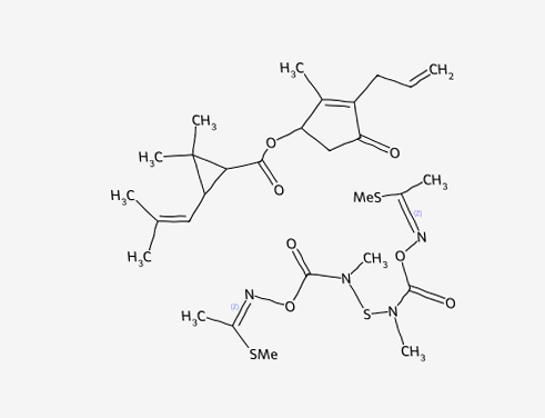 C=CCC1=C(C)C(OC(=O)C2C(C=C(C)C)C2(C)C)CC1=O.CS/C(C)=N\OC(=O)N(C)SN(C)C(=O)O/N=C(/C)SC